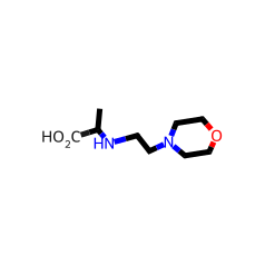 CC(NCCN1CCOCC1)C(=O)O